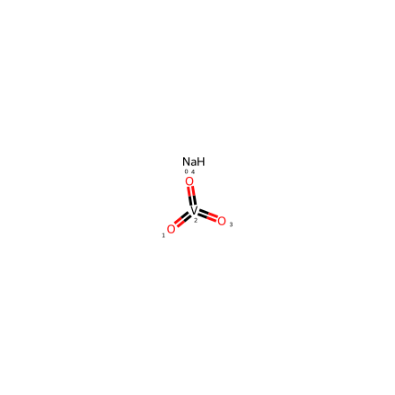 [NaH].[O]=[V](=[O])=[O]